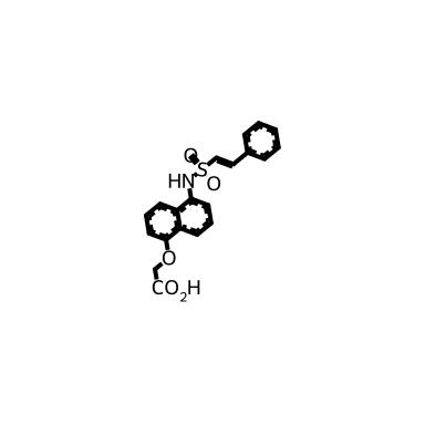 O=C(O)COc1cccc2c(NS(=O)(=O)C=Cc3ccccc3)cccc12